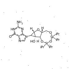 CC(C)[Si]1(C(C)C)OC[C@H]2O[C@H]3C(n4cnc5c(=O)[nH]c(N)nc54)[C@]3(O)[C@@H]2O[Si](C(C)C)(C(C)C)O1